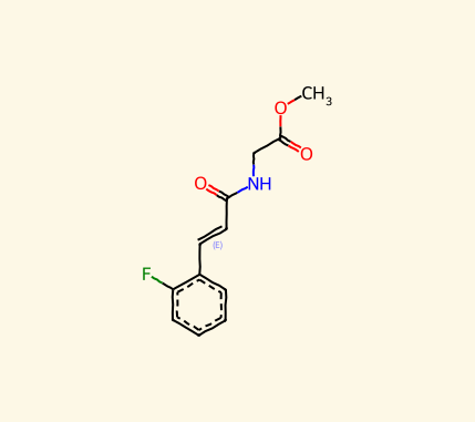 COC(=O)CNC(=O)/C=C/c1ccccc1F